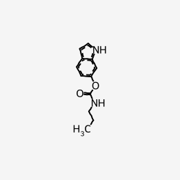 CCCNC(=O)Oc1ccc2cc[nH]c2c1